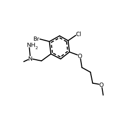 COCCCOc1cc(CN(C)N)c(Br)cc1Cl